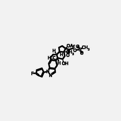 CC(=O)O[C@]1(C(=O)COS(C)(=O)=O)CC[C@H]2[C@@H]3CCC4=Cc5c(cnn5-c5ccc(F)cc5)C[C@]4(C)[C@H]3[C@@H](O)C[C@@]21C